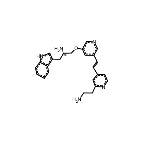 NCCc1cc(C=Cc2cncc(OC[C@@H](N)Cc3c[nH]c4ccccc34)c2)ccn1